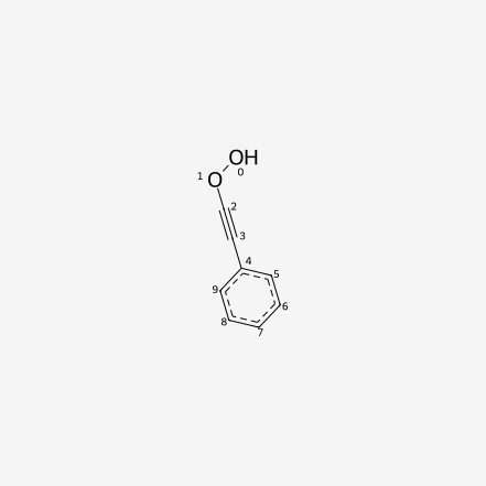 OOC#Cc1ccccc1